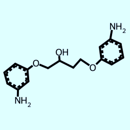 Nc1cccc(OCCC(O)COc2cccc(N)c2)c1